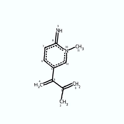 C=C(C)C(=C)c1ccc(=N)n(C)c1